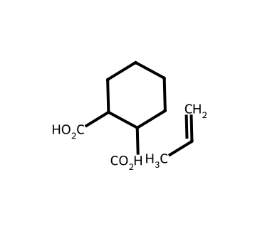 C=CC.O=C(O)C1CCCCC1C(=O)O